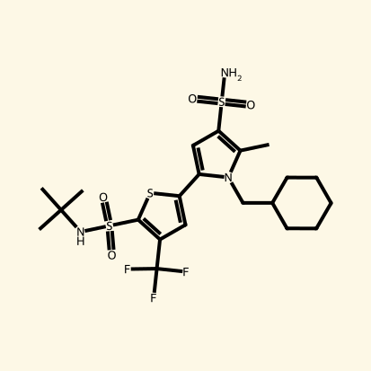 Cc1c(S(N)(=O)=O)cc(-c2cc(C(F)(F)F)c(S(=O)(=O)NC(C)(C)C)s2)n1CC1CCCCC1